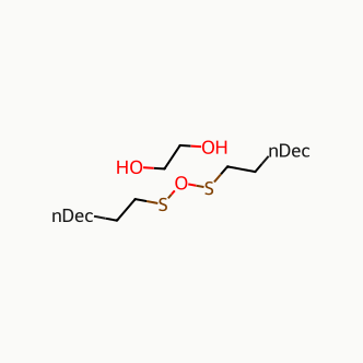 CCCCCCCCCCCCSOSCCCCCCCCCCCC.OCCO